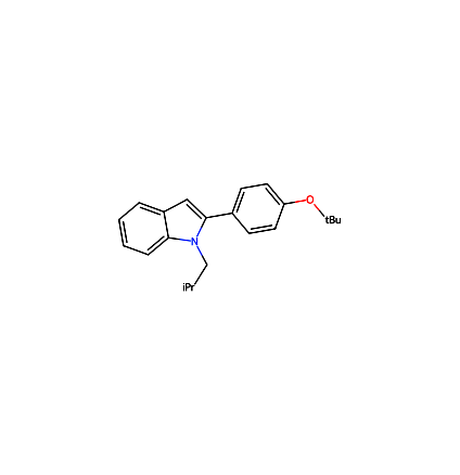 CC(C)Cn1c(-c2ccc(OC(C)(C)C)cc2)cc2ccccc21